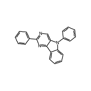 c1ccc(-c2ncc3c(n2)c2ccccc2n3-c2ccccc2)cc1